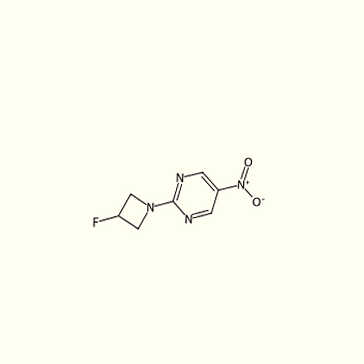 O=[N+]([O-])c1cnc(N2CC(F)C2)nc1